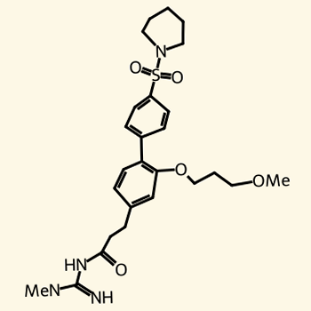 CNC(=N)NC(=O)CCc1ccc(-c2ccc(S(=O)(=O)N3CCCCC3)cc2)c(OCCCOC)c1